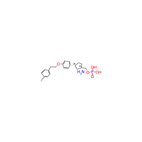 Cc1ccc(CCOc2ccc([C@@H]3CC[C@@](N)(COP(=O)(O)O)C3)cc2)cc1